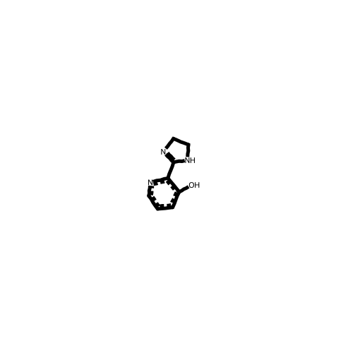 Oc1cccnc1C1=NCCN1